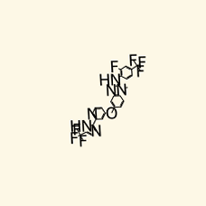 Cn1c(Nc2ccc(C(F)(F)F)cc2F)nc2cc(Oc3ccnc(-c4ncc(C(F)(F)F)[nH]4)c3)ccc21